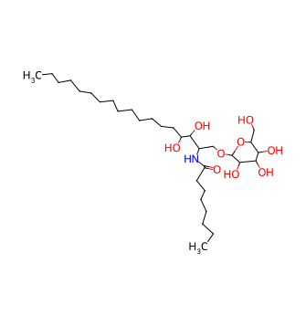 CCCCCCCCCCCCCCC(O)C(O)C(COC1OC(CO)C(O)C(O)C1O)NC(=O)CCCCCCC